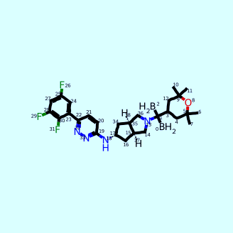 BC(B)(C1CC(C)(C)OC(C)(C)C1)N1C[C@H]2C[C@H](Nc3ccc(-c4cc(F)cc(F)c4F)nn3)C[C@H]2C1